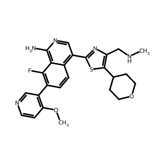 CNCc1nc(-c2cnc(N)c3c(F)c(-c4cnccc4OC)ccc23)sc1C1CCOCC1